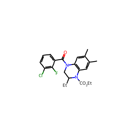 CCOC(=O)N1c2cc(C)c(C)cc2N(C(=O)c2cccc(Cl)c2F)CC1CC